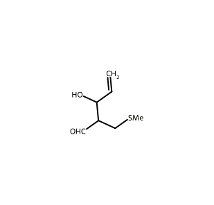 C=CC(O)C(C=O)CSC